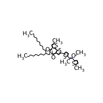 CCCCCCCCCCC(CCCCCCCC)Cn1c(=O)c2cc(C)sc2c2sc(-c3ccc(/C(C)=C(\OCC)c4ccc(C)s4)s3)cc2c1=O